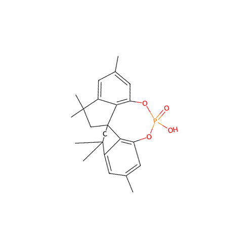 Cc1cc2c3c(c1)C(C)(C)CC31CC(C)(C)c3cc(C)cc(c31)OP(=O)(O)O2